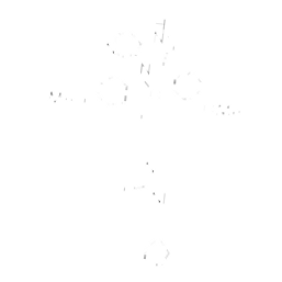 COc1ccc(C(=O)N(C(=O)c2ccc(OC)cc2OCCCNC(=O)NCCc2cccs2)c2cnccc2N)cc1